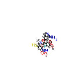 COC(=O)Nc1ccc(S)c([C@H]2CCCN2C(=O)[C@H](Oc2ccc3c(N)nccc3c2)c2cc(OC)c(OC)cc2F)c1